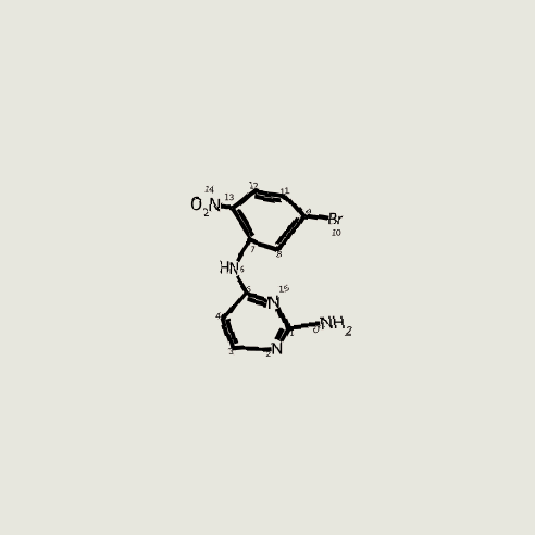 Nc1nccc(Nc2cc(Br)ccc2[N+](=O)[O-])n1